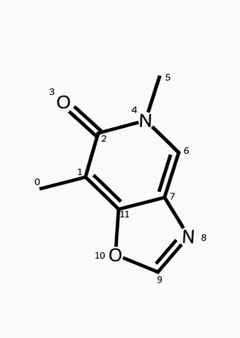 Cc1c(=O)n(C)cc2ncoc12